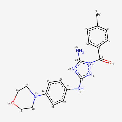 CC(C)c1ccc(C(=O)n2nc(Nc3ccc(N4CCOCC4)cc3)nc2N)cc1